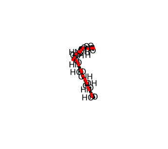 CC(=O)N(O)CCCCCNC(=O)CCC(=O)N(O)CCCCCNC(=O)CCC(=O)N(O)CCCCCNC(=O)COc1cccc(C(=O)NCC(=O)N[C@@H](Cc2ccc(OCC(=O)NCCN3C(=O)C=CC3=O)cc2)C(=O)O)c1